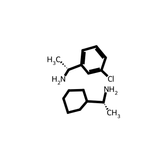 C[C@@H](N)C1CCCCC1.C[C@@H](N)c1cccc(Cl)c1